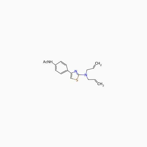 C=CCN(CC=C)c1nc(-c2ccc(NC(C)=O)cc2)cs1